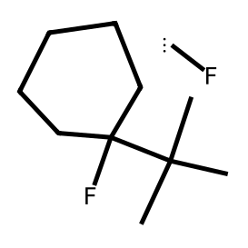 CC(C)(C)C1(F)CCCCC1.[C]F